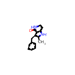 Cc1[nH]c2cc[nH]c(=O)c2c1Cc1ccccc1